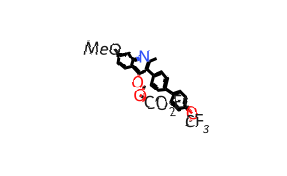 CCOC(=O)OCOc1c(-c2ccc(-c3ccc(OC(F)(F)F)cc3)cc2)c(C)nc2cc(OC)ccc12